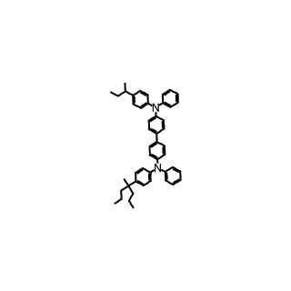 CCCC(C)(CCC)c1ccc(N(c2ccccc2)c2ccc(-c3ccc(N(c4ccccc4)c4ccc(C(C)CC)cc4)cc3)cc2)cc1